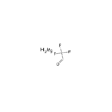 O=[C]C(F)(F)F.[MgH2]